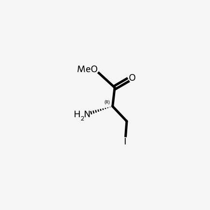 COC(=O)[C@@H](N)CI